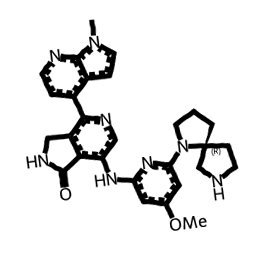 COc1cc(Nc2cnc(-c3ccnc4c3ccn4C)c3c2C(=O)NC3)nc(N2CCC[C@]23CCNC3)c1